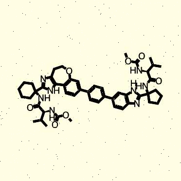 COC(=O)N[C@H](C(=O)NC1(c2nc3c([nH]2)-c2ccc(-c4ccc(-c5ccc6nc(C7(NC(=O)[C@@H](NC(=O)OC)C(C)C)CCCC7)[nH]c6c5)cc4)cc2OCC3)CCCCC1)C(C)C